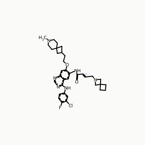 CN1CCC2(CC1)CC(CCOc1cc3ncnc(Nc4ccc(F)c(Cl)c4)c3cc1NC(=O)/C=C/CN1CC3(CCC3)C1)C2